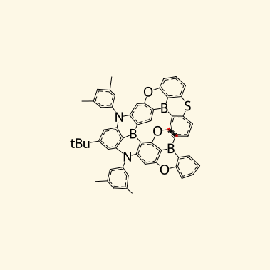 Cc1cc(C)cc(N2c3cc4c(cc3B3c5c2cc(C(C)(C)C)cc5N(c2cc(C)cc(C)c2)c2cc5c6c(c23)Oc2ccccc2B6c2ccccc2O5)B2c3ccccc3Sc3cccc(c32)O4)c1